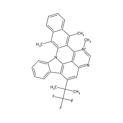 Cc1c2ccccc2c(C)c2c1c1c3c(cc(C(C)(C)C(F)(F)F)c4c5ccccc5n2c43)nc[n+]1C